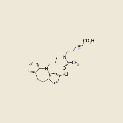 O=C(O)/C=C/CCN(CCCN1c2ccccc2CCc2ccc(Cl)cc21)C(=O)C(F)(F)F